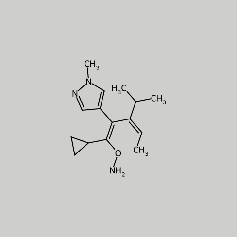 C/C=C(\C(=C(/ON)C1CC1)c1cnn(C)c1)C(C)C